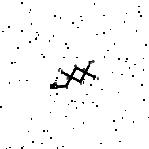 OCC1(I)CC(F)(F)C1